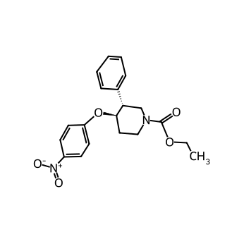 CCOC(=O)N1CC[C@@H](Oc2ccc([N+](=O)[O-])cc2)[C@H](c2ccccc2)C1